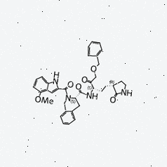 COc1cccc2[nH]c(C(=O)N3Cc4ccccc4C[C@H]3C(=O)N[C@@H](CC[C@@H]3CCNC3=O)C(=O)COCc3ccccc3)cc12